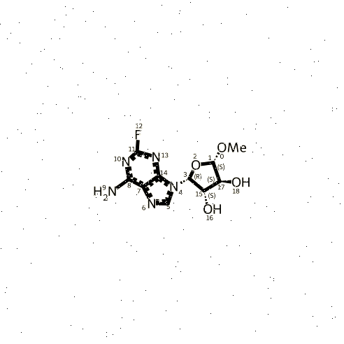 CO[C@H]1O[C@@H](n2cnc3c(N)nc(F)nc32)[C@@H](O)[C@@H]1O